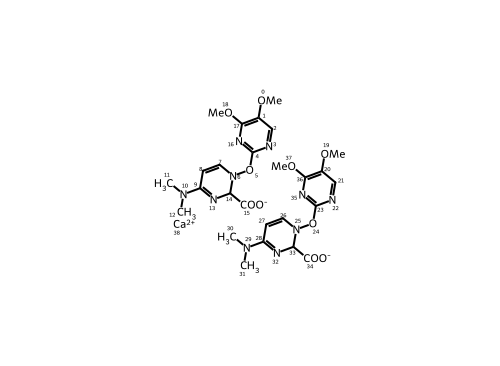 COc1cnc(ON2C=CC(N(C)C)=NC2C(=O)[O-])nc1OC.COc1cnc(ON2C=CC(N(C)C)=NC2C(=O)[O-])nc1OC.[Ca+2]